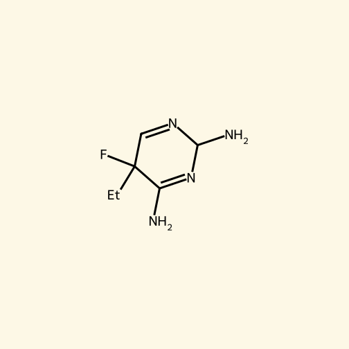 CCC1(F)C=NC(N)N=C1N